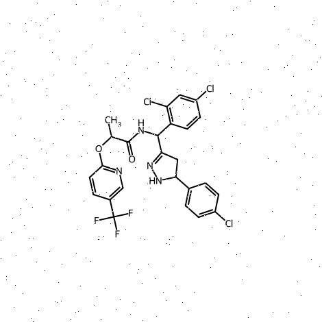 CC(Oc1ccc(C(F)(F)F)cn1)C(=O)NC(C1=NNC(c2ccc(Cl)cc2)C1)c1ccc(Cl)cc1Cl